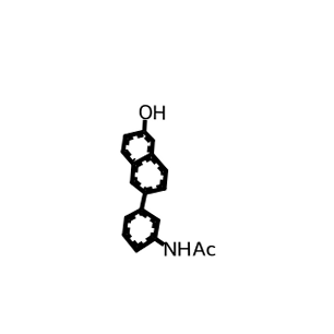 CC(=O)Nc1cccc(-c2ccc3cc(O)ccc3c2)c1